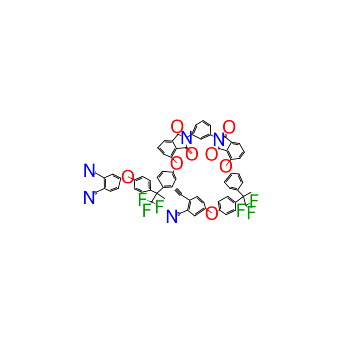 C#Cc1ccc(Oc2ccc(C(C)(c3ccc(Oc4cccc5c4C(=O)N(c4cccc(N6C(=O)c7cccc(Oc8ccc(C(C)(c9ccc(Oc%10ccc(C#N)c(C#N)c%10)cc9)C(F)(F)F)cc8)c7C6=O)c4)C5=O)cc3)C(F)(F)F)cc2)cc1C#N